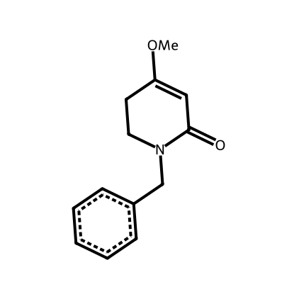 COC1=CC(=O)N(Cc2ccccc2)CC1